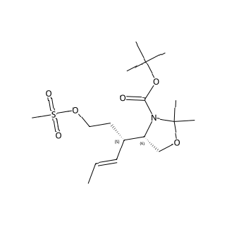 CC=C[C@H](CCOS(C)(=O)=O)[C@H]1COC(C)(C)N1C(=O)OC(C)(C)C